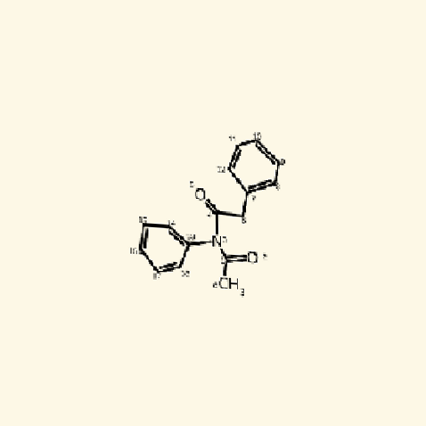 CC(=O)N(C(=O)Cc1ccccc1)c1cc[c]cc1